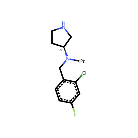 CC(C)N(Cc1ccc(F)cc1Cl)[C@H]1CCNC1